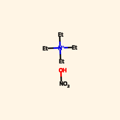 CC[N+](CC)(CC)CC.O=[N+]([O-])O